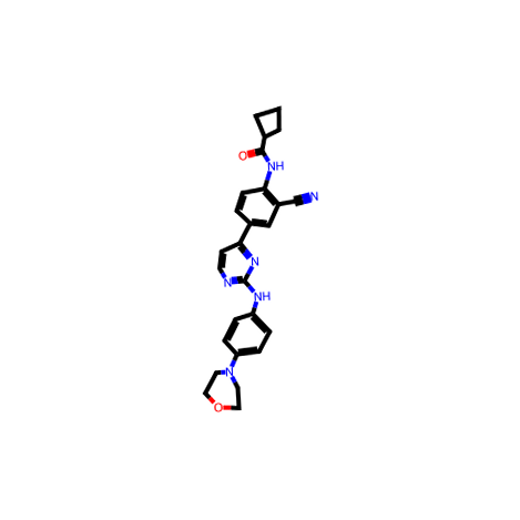 N#Cc1cc(-c2ccnc(Nc3ccc(N4CCOCC4)cc3)n2)ccc1NC(=O)C1CCC1